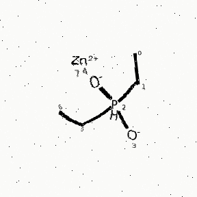 CC[PH]([O-])([O-])CC.[Zn+2]